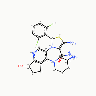 NC(=O)C1=C(N)SC(c2c(F)cccc2F)N1c1cnc2c(c1N1CCC[C@H](N)C1)CC[C@@H]2O